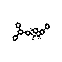 O=c1c2ccc(-c3ccccc3)cc2c2ccc3oc4cc(-c5cc(-c6ccccc6)cc(-c6ccccc6)c5)ccc4n4c(=O)n1c2c34